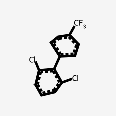 FC(F)(F)c1ccc(-c2c(Cl)[c]ccc2Cl)cc1